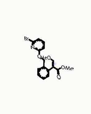 CO/C=C(/C(=O)OC)c1ccccc1COc1cccc(Br)n1